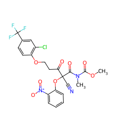 COC(=O)N(C)C(=O)C(C#N)(Oc1ccccc1[N+](=O)[O-])C(=O)CCOc1ccc(C(F)(F)F)cc1Cl